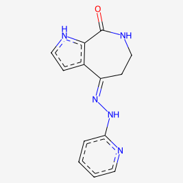 O=C1NCCC(=NNc2ccccn2)c2cc[nH]c21